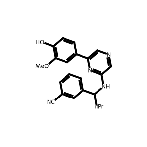 CCCC(Nc1cncc(-c2ccc(O)c(OC)c2)n1)c1cccc(C#N)c1